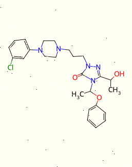 CC(O)c1nn(CCCN2CCN(c3cccc(Cl)c3)CC2)c(=O)n1C(C)Oc1ccccc1